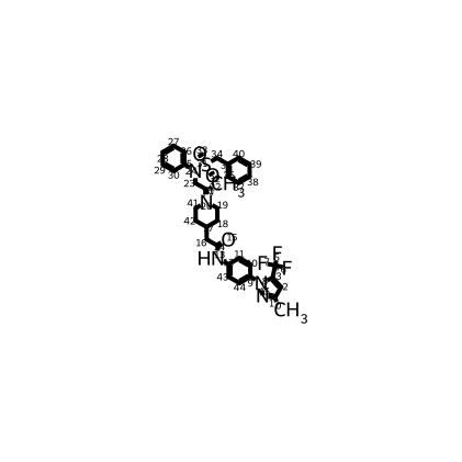 Cc1cc(C(F)(F)F)n(-c2ccc(NC(=O)CC3CCN([C@H](C)CN(c4ccccc4)S(=O)(=O)Cc4ccccc4)CC3)cc2)n1